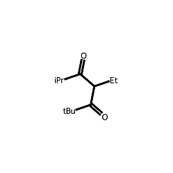 CCC(C(=O)C(C)C)C(=O)C(C)(C)C